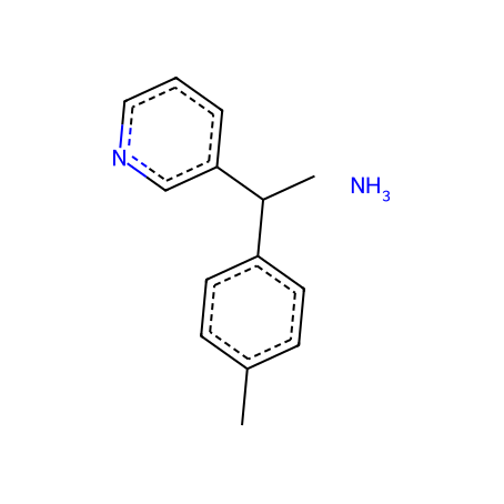 Cc1ccc(C(C)c2cccnc2)cc1.N